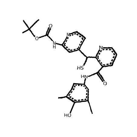 Cc1cc(NC(=O)c2cccnc2C(S)c2ccnc(NC(=O)OC(C)(C)C)c2)cc(C)c1O